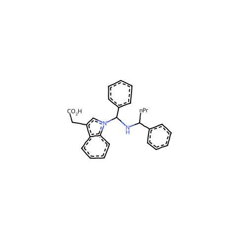 CCCC(NC(c1ccccc1)n1cc(CC(=O)O)c2ccccc21)c1ccccc1